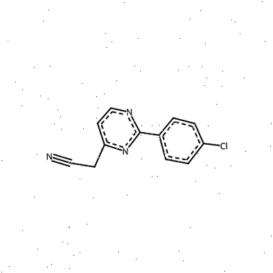 N#CCc1ccnc(-c2ccc(Cl)cc2)n1